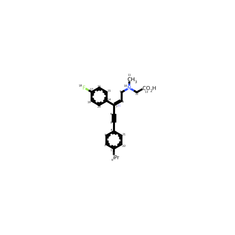 CC(C)c1ccc(C#C/C(=C/CN(C)CC(=O)O)c2ccc(F)cc2)cc1